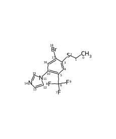 CCSc1cc(C(F)(F)F)c(-n2ccnc2)cc1Br